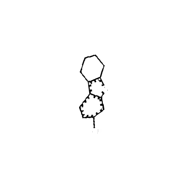 Oc1ccc2c3c([nH]c2c1)CC[CH]C3